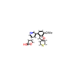 COc1ccc(-c2cncc([C@@H]3COB(O)C3)c2)c2c1OC1(CCSCC1)C2